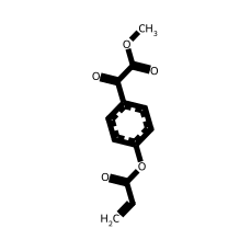 C=CC(=O)Oc1ccc(C(=O)C(=O)OC)cc1